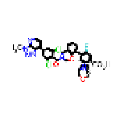 Cn1nnc2c(-c3cc(Cl)c(C(=O)N4COc5c(cccc5-c5cc(N6B7CCC6COC7)c(C(=O)O)cc5F)C4)c(Cl)c3)ccnc21